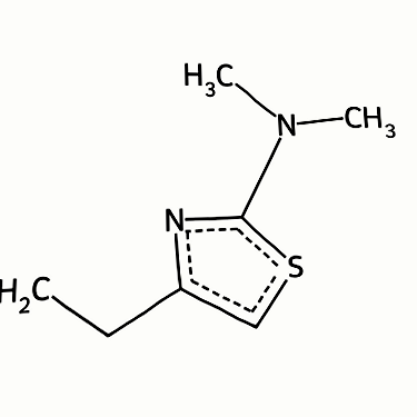 [CH2]Cc1csc(N(C)C)n1